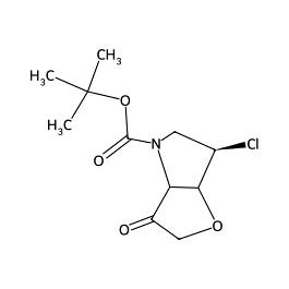 CC(C)(C)OC(=O)N1C[C@@H](Cl)C2OCC(=O)C21